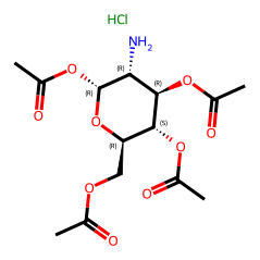 CC(=O)OC[C@H]1O[C@H](OC(C)=O)[C@H](N)[C@@H](OC(C)=O)[C@@H]1OC(C)=O.Cl